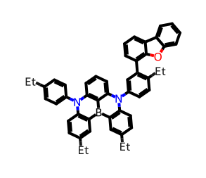 CCc1ccc(N2c3ccc(CC)cc3B3c4cc(CC)ccc4N(c4ccc(CC)c(-c5cccc6c5oc5ccccc56)c4)c4cccc2c43)cc1